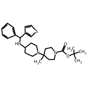 CC(C)(C)OC(=O)N1CCC(C)(N2CCC(NC(c3ccccc3)c3ccsc3)CC2)CC1